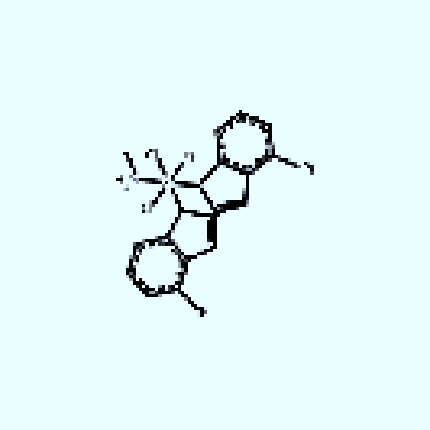 C[CH2][Zr]([Cl])([Cl])([SiH2]C)([CH]1C(C)=Cc2c(C(C)C)cccc21)[CH]1C(C)=Cc2c(C(C)C)cccc21